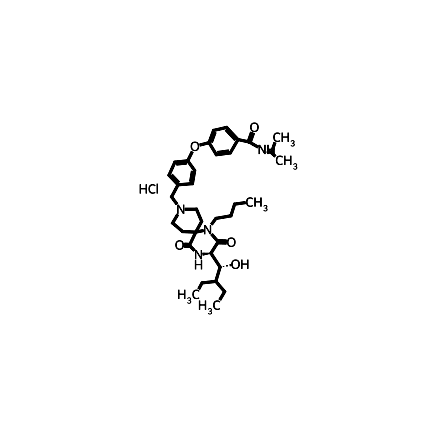 CCCCN1C(=O)[C@@H]([C@H](O)C(CC)CC)NC(=O)C12CCN(Cc1ccc(Oc3ccc(C(=O)NC(C)C)cc3)cc1)CC2.Cl